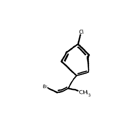 C/C(=C/Br)c1ccc(Cl)cc1